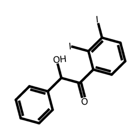 O=C(c1cccc(I)c1I)C(O)c1ccccc1